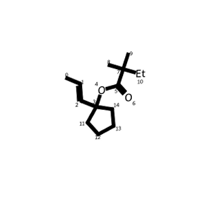 C/C=C/C1(OC(=O)C(C)(C)CC)CCCC1